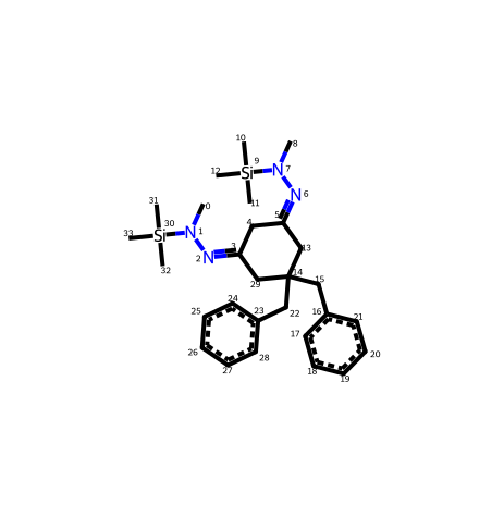 CN(/N=C1\C/C(=N\N(C)[Si](C)(C)C)CC(Cc2ccccc2)(Cc2ccccc2)C1)[Si](C)(C)C